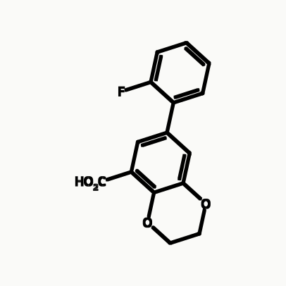 O=C(O)c1cc(-c2ccccc2F)cc2c1OCCO2